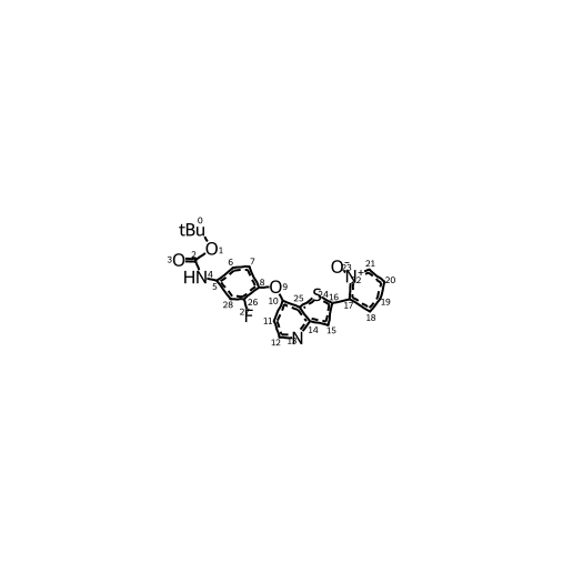 CC(C)(C)OC(=O)Nc1ccc(Oc2ccnc3cc(-c4cccc[n+]4[O-])sc23)c(F)c1